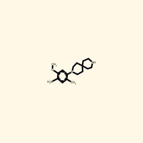 COc1cc(N2CCC3(CCNCC3)CC2)c(C)cc1N